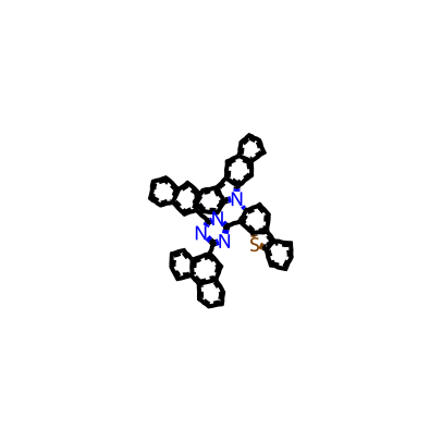 c1ccc2cc(-c3nc(-c4cc5ccccc5c5ccccc45)nc(-c4c(-n5c6ccccc6c6cc7ccccc7cc65)ccc5c4sc4ccccc45)n3)ccc2c1